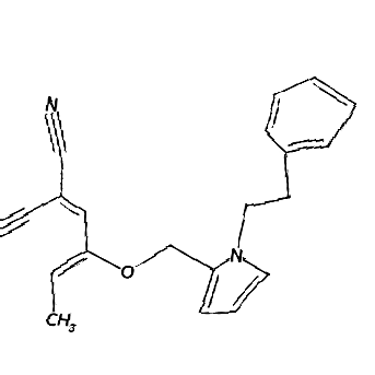 C/C=C(/C=C(C#N)C#N)OCc1cccn1CCc1ccccc1